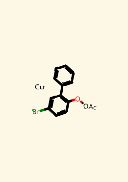 CC(=O)OOc1ccc(Br)cc1-c1ccccc1.[Cu]